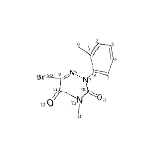 Cc1ccccc1-n1nc(Br)c(=O)n(C)c1=O